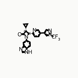 O=C1[C@H](C2CC2)[C@H](c2ccc(-c3cnn(C(F)(F)F)c3)cn2)N1c1ccc2[nH]cnc2c1